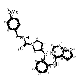 COc1ccc(CNC(=O)N2CCC(Oc3ccccc3Nc3ncnc4sccc34)C2)cc1